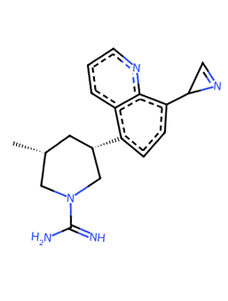 C[C@@H]1C[C@H](c2ccc(C3C=N3)c3ncccc23)CN(C(=N)N)C1